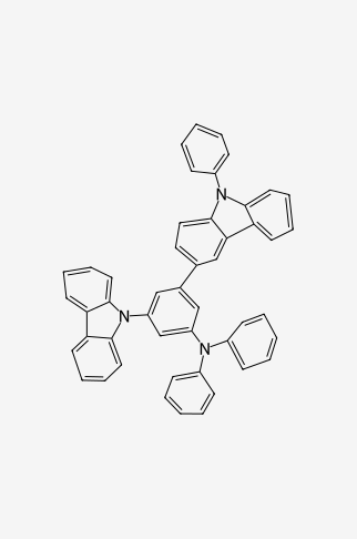 c1ccc(N(c2ccccc2)c2cc(-c3ccc4c(c3)c3ccccc3n4-c3ccccc3)cc(-n3c4ccccc4c4ccccc43)c2)cc1